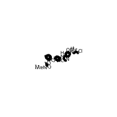 CNC(=O)COc1ccccc1Oc1ccc(Nc2c(C#N)cnc3cc(NCCCCl)c(OC)cc23)cc1